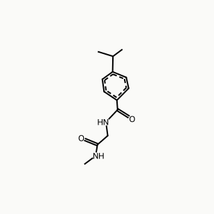 CNC(=O)CNC(=O)c1ccc(C(C)C)cc1